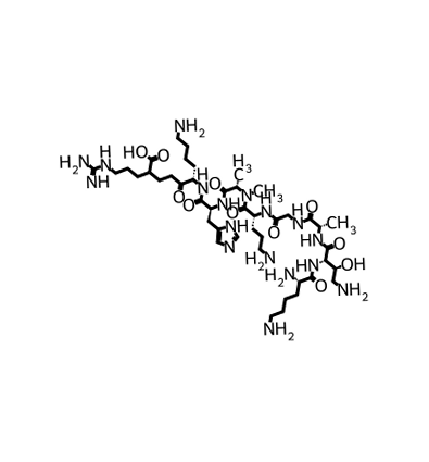 C[C@H](NC(=O)[C@@H](NC(=O)[C@@H](N)CCCCN)[C@@H](O)CN)C(=O)NCC(=O)N[C@H](CCCN)C(=O)N(C)[C@@H](C)C(=O)N[C@@H](Cc1cnc[nH]1)C(=O)N[C@@H](CCCCN)C(=O)CCC(CCCNC(=N)N)C(=O)O